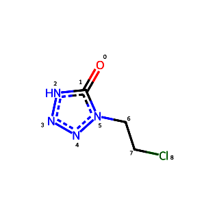 O=c1[nH]nnn1CCCl